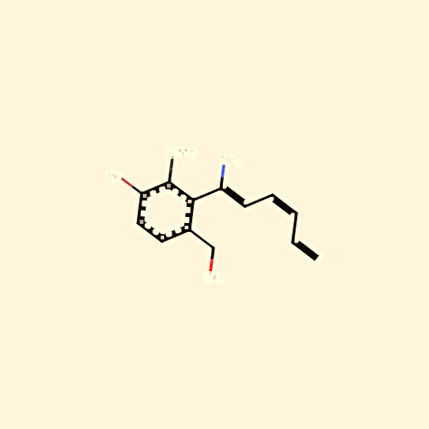 C=C/C=C\C=C(/N)c1c(CO)ccc(Br)c1OC